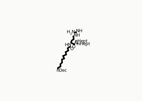 CCCCCCCCCCCCCCCCCCCCCC(=O)NC(CCCNC(=N)N)C(=O)N(CCCCCCC)CCCCCCC